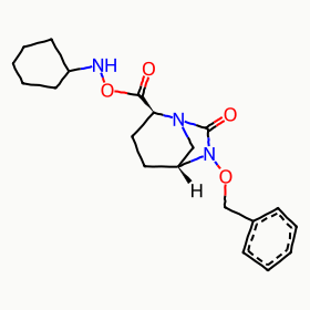 O=C(ONC1CCCCC1)[C@@H]1CC[C@@H]2CN1C(=O)N2OCc1ccccc1